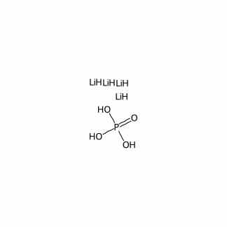 O=P(O)(O)O.[LiH].[LiH].[LiH].[LiH]